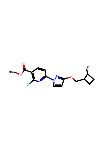 CCCC1CCC1COc1ccn(-c2ccc(C(=O)OC(C)(C)C)c(Cl)n2)n1